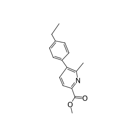 CCc1ccc(-c2ccc(C(=O)OC)nc2C)cc1